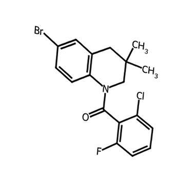 CC1(C)Cc2cc(Br)ccc2N(C(=O)c2c(F)cccc2Cl)C1